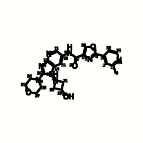 Cc1cc(-c2nc(C(=O)Nc3cnc4c(c3)[SH](N3CC(O)C3)C(N3CCOCC3)=N4)co2)ccn1